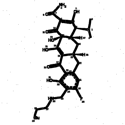 CN(C)[C@@H]1C(O)=C(C(N)=O)C(=O)[C@@]2(O)C(O)=C3C(=O)c4c(cc(F)c(CNCCC(C)(C)C)c4O)C[C@H]3C[C@@H]12